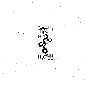 Cc1cc(C)n2nc(CC3=C(O)CC(CCc4ccc([C@@H](C)NC(=O)O)cc4)(C4CCCC4)OC3=O)nc2n1